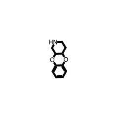 c1ccc2c(c1)OC1CCNCC1O2